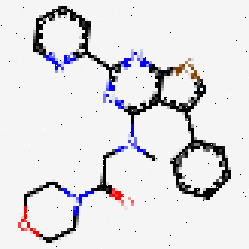 CN(CC(=O)N1CCOCC1)c1nc(-c2ccccn2)nc2scc(-c3ccccc3)c12